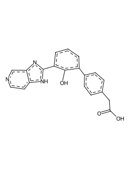 O=C(O)Cc1ccc(-c2cccc(-c3nc4cnccc4[nH]3)c2O)cc1